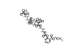 CCOC(=O)c1ccccc1OC(=O)OCCCOC(=O)[C@H](O)C(C)(C)COS(=O)(=O)CCCNC(C)=O